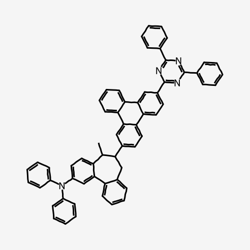 CC1c2ccc(N(c3ccccc3)c3ccccc3)cc2-c2ccccc2CC1c1ccc2c3ccc(-c4nc(-c5ccccc5)nc(-c5ccccc5)n4)cc3c3ccccc3c2c1